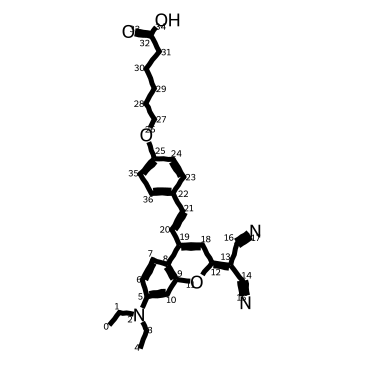 CCN(CC)c1ccc2c(c1)OC(=C(C#N)C#N)C=C2/C=C/c1ccc(OCCCCCC(=O)O)cc1